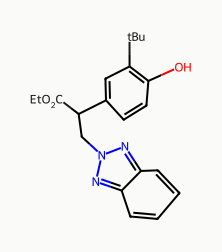 CCOC(=O)C(Cn1nc2ccccc2n1)c1ccc(O)c(C(C)(C)C)c1